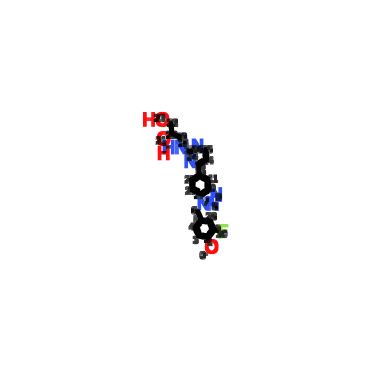 COc1ccc(Cn2nnc3cc(-c4ccnc(NC[C@@H](O)CO)n4)ccc32)cc1F